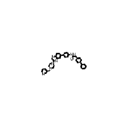 O=C(Cc1ccc(-c2ccccc2)cc1)Nc1ccc(-c2ccc3ncc(N4CCN(Cc5cccnc5)CC4)nc3c2)cc1